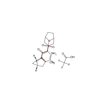 N#C[C@@H]1C[C@@H]2C[C@@H]2N1C(=O)[C@@H](N)C1CC2CCC(C1)N2S(=O)(=O)c1cc(F)cc(F)c1.O=C(O)C(F)(F)F